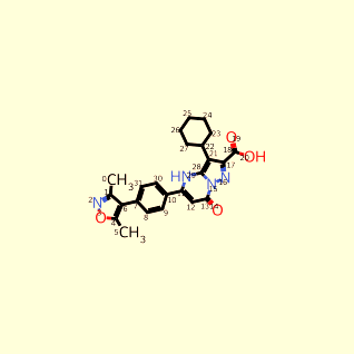 Cc1noc(C)c1-c1ccc(-c2cc(=O)n3nc(C(=O)O)c(C4CCCCC4)c3[nH]2)cc1